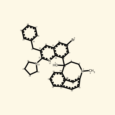 CN1CCC(O)(c2cc(Br)cc3cc(Cc4ccccc4)c(N4CCCC4)nc23)c2cccc3ccc1cc23